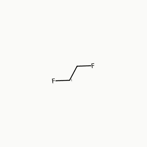 F[C]CF